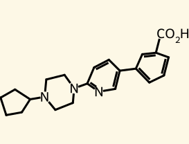 O=C(O)c1cccc(-c2ccc(N3CCN(C4CCCC4)CC3)nc2)c1